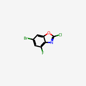 Fc1cc(Br)cc2oc(Cl)nc12